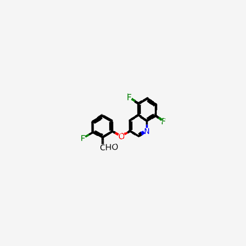 O=Cc1c(F)cccc1Oc1cnc2c(F)ccc(F)c2c1